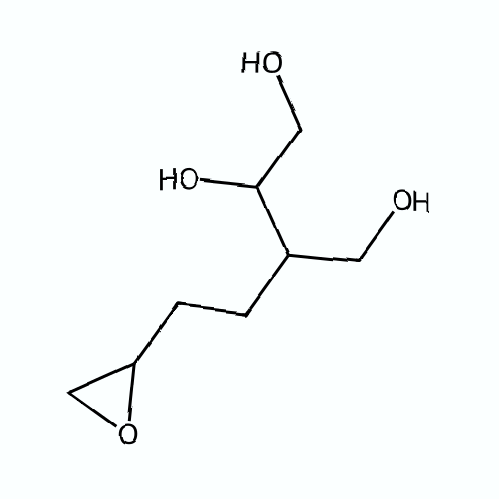 OCC(O)C(CO)CCC1CO1